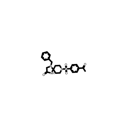 CC(=O)c1ccc(S(=O)(=O)N2CCC3(CC2)NC(=O)CN3Cc2ccccc2)cc1